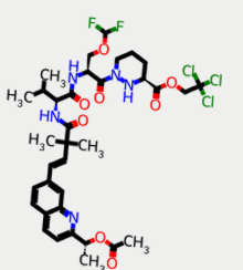 CC(=O)O[C@H](C)c1ccc2ccc(C=CC(C)(C)C(=O)N[C@H](C(=O)N[C@@H](COC(F)F)C(=O)N3CCC[C@@H](C(=O)OCC(Cl)(Cl)Cl)N3)C(C)C)cc2n1